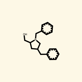 OCC1CC(Cc2ccccc2)CN1Cc1ccccc1